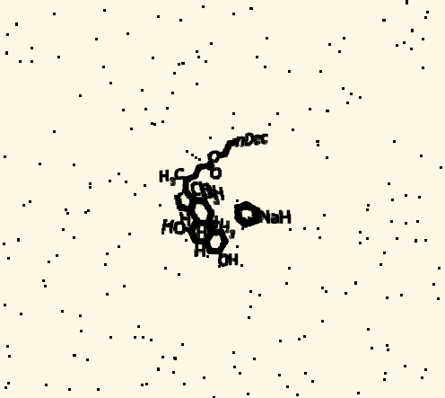 CCCCCCCCCCCCOC(=O)CC[C@@H](C)[C@H]1CC[C@H]2[C@@H]3[C@H](O)C[C@@H]4C[C@H](O)CC[C@]4(C)[C@H]3C[C@H](O)[C@]12C.[NaH].c1ccccc1